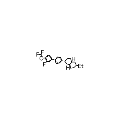 CCC1CC[C@@H]2C[C@H](c3ccc(-c4ccc(OC(F)F)c(F)c4)cc3)CC[C@@H]2C1